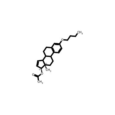 CCCCOc1ccc2c(c1)CCC1C2CC[C@@]2(C)C1C=C[C@@H]2OC(C)=O